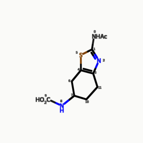 CC(=O)Nc1nc2c(s1)CC(NC(=O)O)CC2